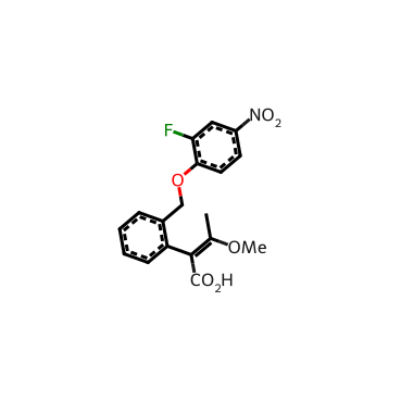 COC(C)=C(C(=O)O)c1ccccc1COc1ccc([N+](=O)[O-])cc1F